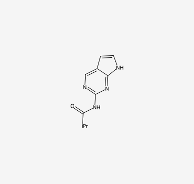 CC(C)C(=O)Nc1ncc2cc[nH]c2n1